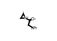 CC(C)CC(=O)N1CC1